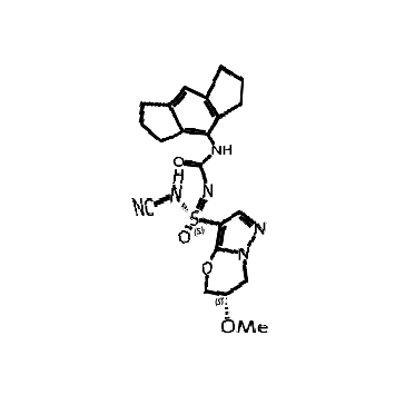 CO[C@@H]1COc2c([S@@](=O)(=NC(=O)Nc3c4c(cc5c3CCC5)CCC4)NC#N)cnn2C1